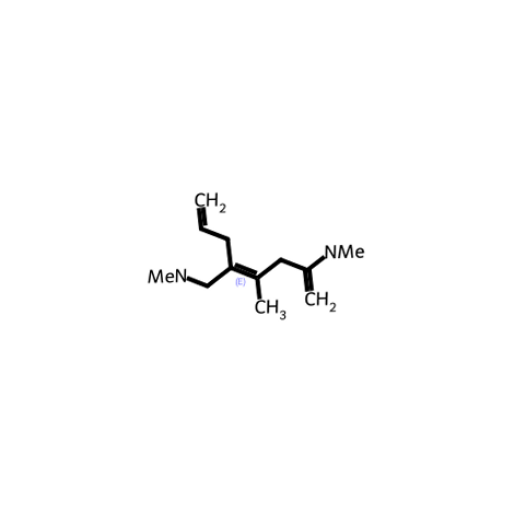 C=CC/C(CNC)=C(/C)CC(=C)NC